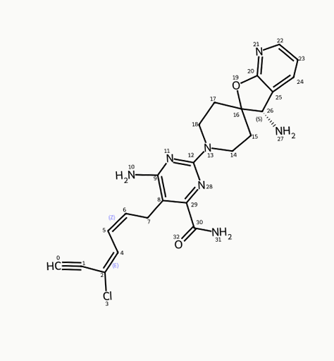 C#C/C(Cl)=C\C=C/Cc1c(N)nc(N2CCC3(CC2)Oc2ncccc2[C@@H]3N)nc1C(N)=O